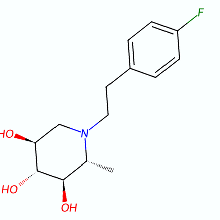 C[C@@H]1[C@@H](O)[C@H](O)[C@@H](O)CN1CCc1ccc(F)cc1